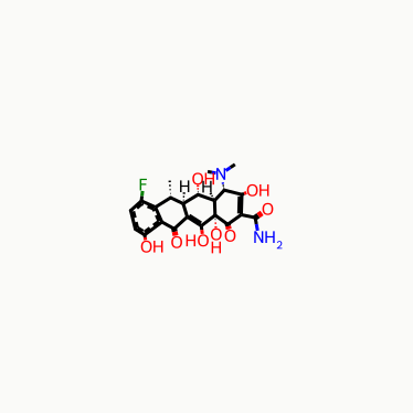 C[C@H]1c2c(F)ccc(O)c2C(=O)C2=C(O)[C@]3(O)C(=O)C(C(N)=O)=C(O)[C@@H](N(C)C)[C@@H]3[C@@H](O)[C@@H]21